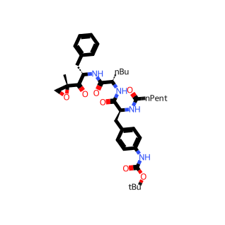 CCCCCC(=O)N[C@@H](Cc1ccc(NC(=O)OC(C)(C)C)cc1)C(=O)N[C@@H](CCCC)C(=O)N[C@@H](Cc1ccccc1)C(=O)[C@@]1(C)CO1